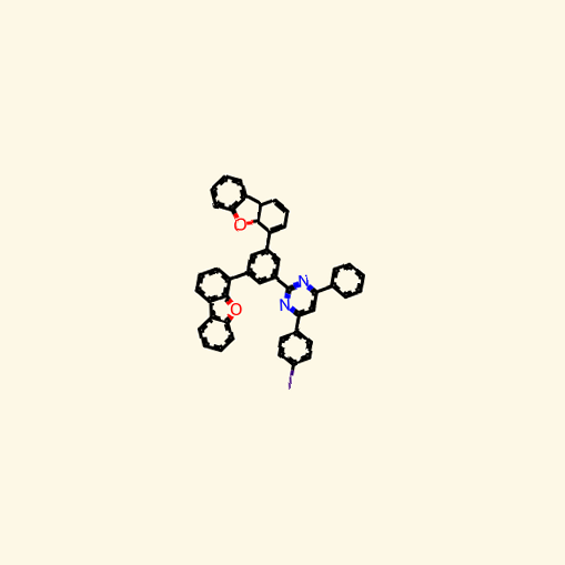 Ic1ccc(-c2cc(-c3ccccc3)nc(-c3cc(C4=CC=CC5c6ccccc6OC45)cc(-c4cccc5c4oc4ccccc45)c3)n2)cc1